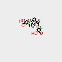 Cc1c(COc2cc(O)c(C=O)cc2Cl)cccc1-c1scc(COc2cc(O)c(C=O)cc2Cl)c1C